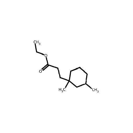 CCOC(=O)CCC1(C)CCCC(C)C1